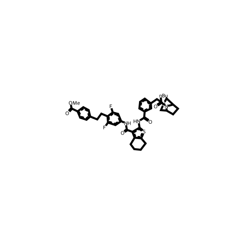 CCCCC(=O)N1C2CCC1CN(Cc1cccc(C(=O)Nc3sc4c(c3C(=O)Nc3cc(F)c(CCc5ccc(C(=O)OC)cc5)c(F)c3)CCCC4)c1)C2